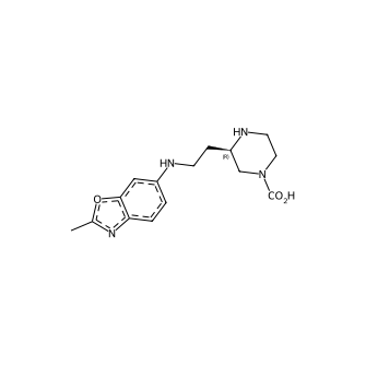 Cc1nc2ccc(NCC[C@@H]3CN(C(=O)O)CCN3)cc2o1